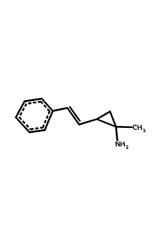 CC1(N)CC1/C=C/c1ccccc1